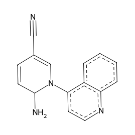 N#CC1=CN(c2ccnc3ccccc23)C(N)C=C1